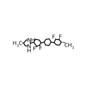 CC[C@H]1CCC(C2CCC(C3CCC(C4NCC(C)CN4)C(F)C3F)CC2)[C@@H](F)C1F